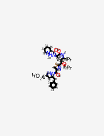 CCCOC(CC(C(C)C)N(C)C(=O)C(NC(=O)[C@H]1CCCCN1C)C(C)CC)c1nc(C(=O)NC(Cc2ccccc2)CC(C)C(=O)O)cs1